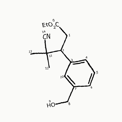 CCOC(=O)CC(c1cccc(CO)c1)C(C)(C)C#N